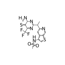 CC(C1=NC(N)C(=S)C(C(F)(F)F)=N1)c1cc2c(NS(C)(=O)=O)csc2cn1